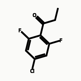 CCC(=O)c1c(F)cc(Cl)cc1F